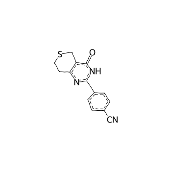 N#Cc1ccc(-c2nc3c(c(=O)[nH]2)CSCC3)cc1